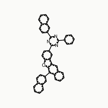 c1ccc(-c2nc(-c3ccc4ccccc4c3)nc(-c3ccc4oc5c(-c6ccc7ccccc7c6)c6ccccc6cc5c4c3)n2)cc1